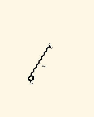 O=C([O-])CCCCCCCCCCCCCc1ccc(O)cc1.[Na+]